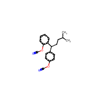 CC(C)CCC(c1ccc(OC#N)cc1)c1ccccc1OC#N